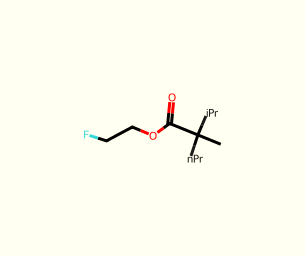 CCCC(C)(C(=O)OCCF)C(C)C